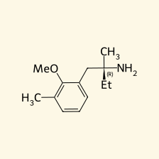 CC[C@@](C)(N)Cc1cccc(C)c1OC